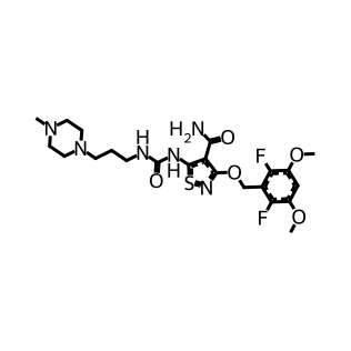 COc1cc(OC)c(F)c(COc2nsc(NC(=O)NCCCN3CCN(C)CC3)c2C(N)=O)c1F